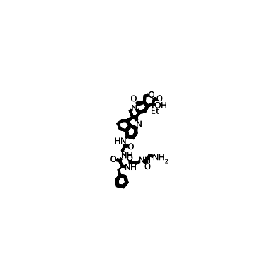 CC[C@@]1(O)C(=O)OCc2c1cc1n(c2=O)Cc2c-1nc1ccc(NC(=O)CNC(=O)[C@H](Cc3ccccc3)NC(=O)CNC(=O)CN)c3c1c2CCC3